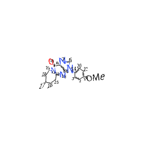 COc1ccc(-n2cnc3c(=O)n4c(nc32)CCCCC4)cc1